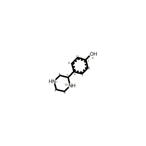 Oc1ccc(C2CNCCN2)cc1